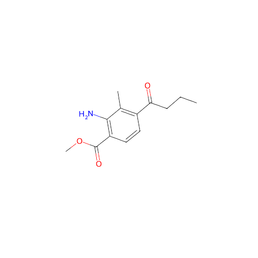 CCCC(=O)c1ccc(C(=O)OC)c(N)c1C